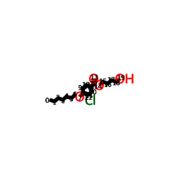 CCCCCCCOc1ccc(C(=O)OCCCCO)cc1Cl